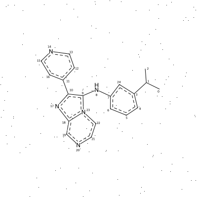 CC(C)c1cccc(Nc2c(-c3ccncc3)nc3cnccn23)c1